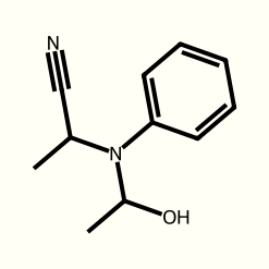 CC(O)N(c1ccccc1)C(C)C#N